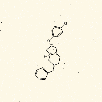 Clc1ccc(O[C@H]2C[C@@H]3CN(Cc4ccccc4)CCN3C2)nc1